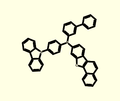 c1ccc(-c2cccc(N(c3ccc(-n4c5ccccc5c5ccccc54)cc3)c3ccc4c(c3)oc3c5ccccc5ccc43)c2)cc1